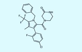 Cc1c(-c2ccc(Cl)cc2F)c(C(=O)N2CCNC(=O)C2)n(Cc2ccccc2)c1C(F)(F)F